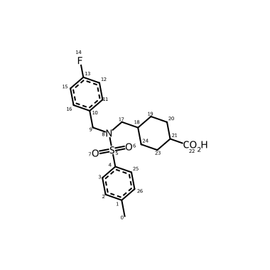 Cc1ccc(S(=O)(=O)N(Cc2ccc(F)cc2)CC2CCC(C(=O)O)CC2)cc1